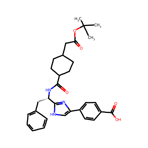 CC(C)(C)OC(=O)CC1CCC(C(=O)N[C@@H](Cc2ccccc2)c2nc(-c3ccc(C(=O)O)cc3)c[nH]2)CC1